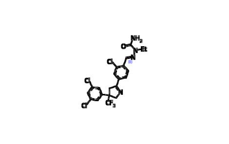 CCN(/N=C/c1ccc(C2=NCC(c3cc(Cl)cc(Cl)c3)(C(F)(F)F)C2)cc1Cl)C(N)=O